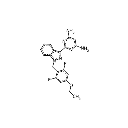 CCOc1cc(F)c(Cn2nc(-c3nc(N)cc(N)n3)c3ccccc32)c(F)c1